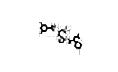 Cc1cc(C(=O)N[C@@H]2CCO[C@]23O[C@H](CO)[C@H](O)[C@H](n2cc(-c4cc(F)c(F)c(F)c4)nn2)[C@H]3O)c2cc(Cl)ccc2n1